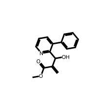 C=C(C(=O)OC)C(O)c1ncccc1-c1ccccc1